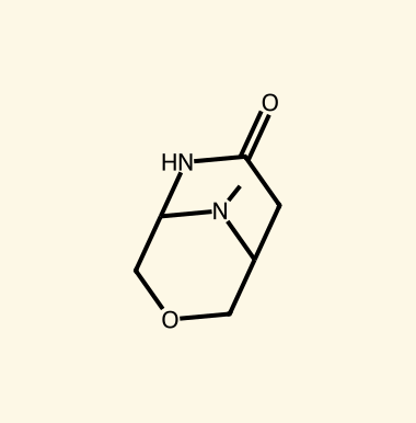 CN1C2COCC1NC(=O)C2